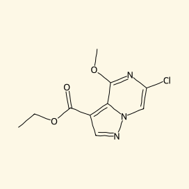 CCOC(=O)c1cnn2cc(Cl)nc(OC)c12